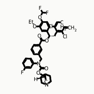 C=C/C(Cl)=C(C[C@H](OC(=O)c1cccc(CN(C(=O)O[C@H]2CN3CCC2CC3)c2cccc(F)c2)c1)c1ccc(OC(F)F)c(OCC)c1)\C(Cl)=C/C